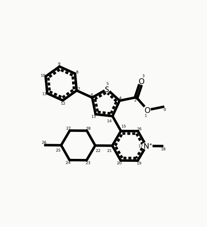 COC(=O)c1sc(-c2ccccc2)cc1-c1c[n+](C)ccc1C1CCC(C)CC1